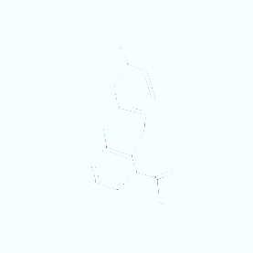 NC(=O)c1cc(Cl)cc(F)c1Cc1ccc(Br)cc1